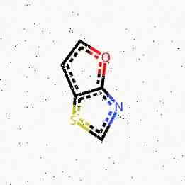 [c]1nc2occc2s1